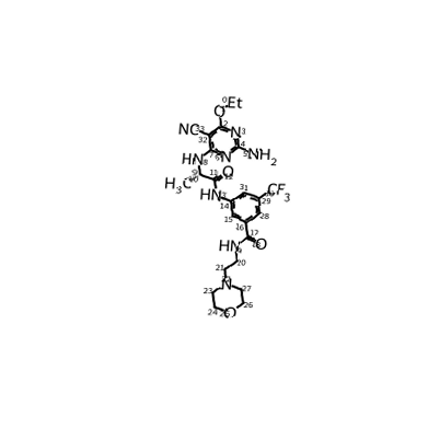 CCOc1nc(N)nc(N[C@@H](C)C(=O)Nc2cc(C(=O)NCCN3CCOCC3)cc(C(F)(F)F)c2)c1C#N